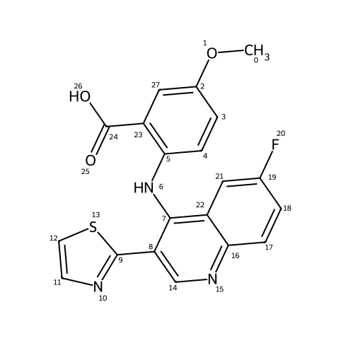 COc1ccc(Nc2c(-c3nccs3)cnc3ccc(F)cc23)c(C(=O)O)c1